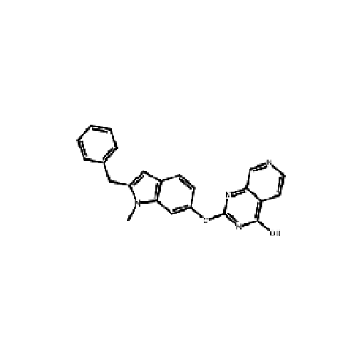 Cn1c(Cc2ccccc2)cc2ccc(Oc3nc(O)c4ccncc4n3)cc21